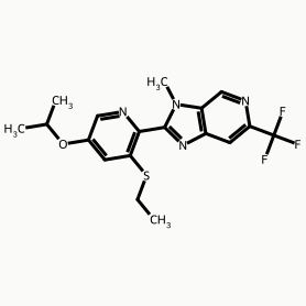 CCSc1cc(OC(C)C)cnc1-c1nc2cc(C(F)(F)F)ncc2n1C